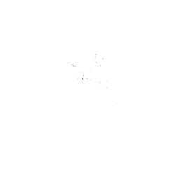 C/N=C\c1cnn2cc(-c3cnn(C4CCNCC4)c3)cc(Sc3ncccn3)c12